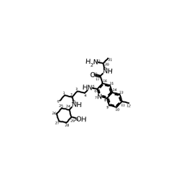 CCC(CCNc1nc2ccc(C)cc2cc1C(=O)NC(C)N)NC1CCCCC1O